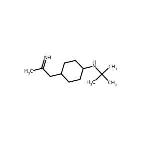 CC(=N)CC1CCC(NC(C)(C)C)CC1